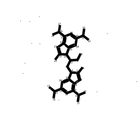 CCC(CC1C(C)=Cc2c(C(C)C)cc(C(C)C)cc21)C1C(C)=Cc2c(C(C)C)cc(C(C)C)cc21